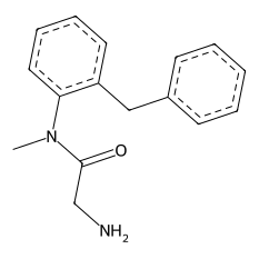 CN(C(=O)CN)c1ccccc1Cc1ccccc1